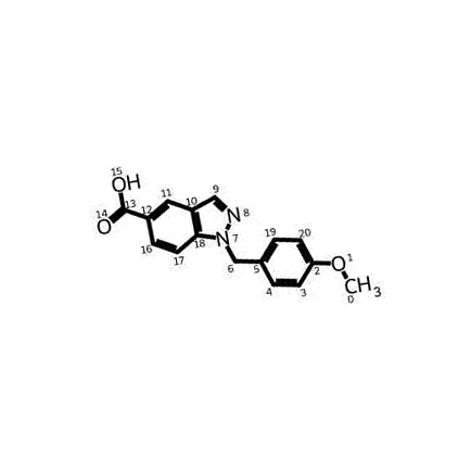 COc1ccc(Cn2ncc3cc(C(=O)O)ccc32)cc1